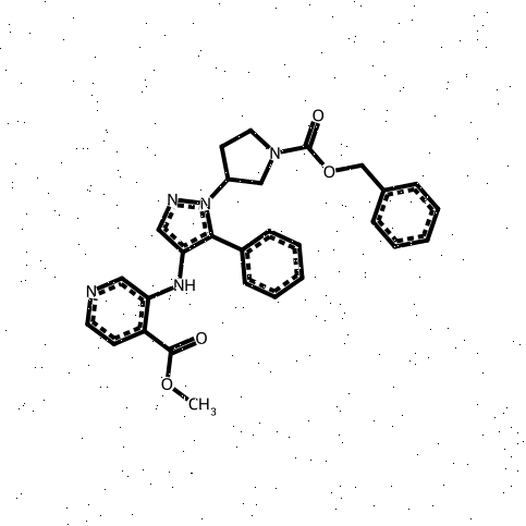 COC(=O)c1ccncc1Nc1cnn(C2CCN(C(=O)OCc3ccccc3)C2)c1-c1ccccc1